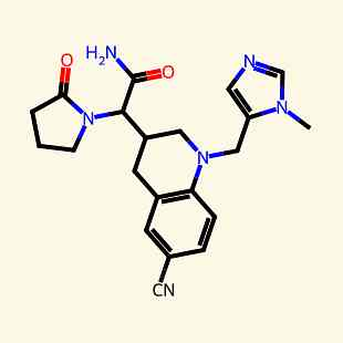 Cn1cncc1CN1CC(C(C(N)=O)N2CCCC2=O)Cc2cc(C#N)ccc21